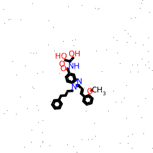 COc1ccccc1/C=C/c1nc2cc(C(=O)NC(CO)C(=O)O)ccc2n1CCCCc1ccccc1